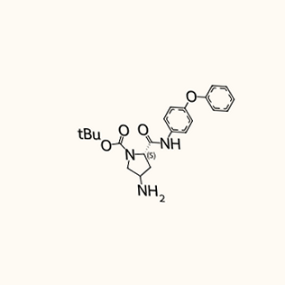 CC(C)(C)OC(=O)N1CC(N)C[C@H]1C(=O)Nc1ccc(Oc2ccccc2)cc1